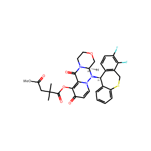 COC(=O)CC(C)(C)C(=O)Oc1c2n(ccc1=O)N([C@@H]1c3ccccc3SCc3c1ccc(F)c3F)[C@@H]1COCCN1C2=O